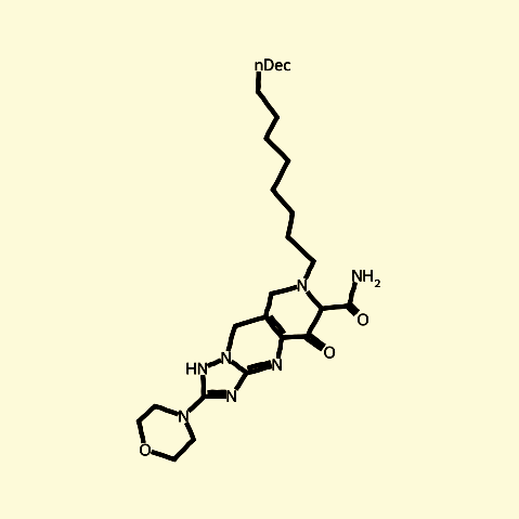 CCCCCCCCCCCCCCCCCCN1CC2=C(N=C3N=C(N4CCOCC4)NN3C2)C(=O)C1C(N)=O